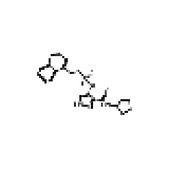 O=C(NC1CCCC1)c1n[nH]cc1NS(=O)(=O)CCc1cccc2ccccc12